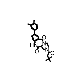 Cc1ccc(-c2ccc3c(c2)C(=O)N2CCN(C(=O)CC(C)(C)C)CC2C(=O)N3)cc1C